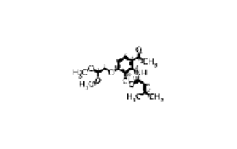 COC(COc1ccc(C(C)=O)c(NC(=O)C=C(C)C)c1Cl)OC